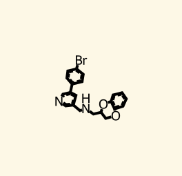 Brc1ccc(-c2cncc(CNCC3COc4ccccc4O3)c2)cc1